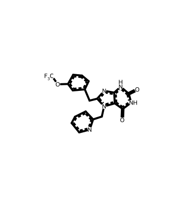 O=c1[nH]c(=O)c2c(nc(Cc3cccc(OC(F)(F)F)c3)n2Cc2ccccn2)[nH]1